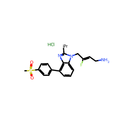 CC(C)c1nc2c(-c3ccc(S(C)(=O)=O)cc3)cccc2n1C/C(F)=C/CN.Cl